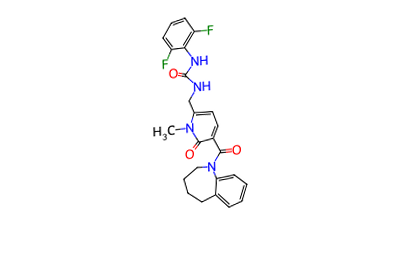 Cn1c(CNC(=O)Nc2c(F)cccc2F)ccc(C(=O)N2CCCCc3ccccc32)c1=O